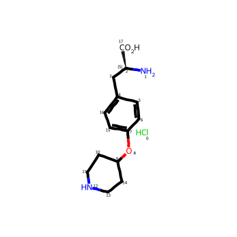 Cl.N[C@@H](Cc1ccc(OC2CCNCC2)cc1)C(=O)O